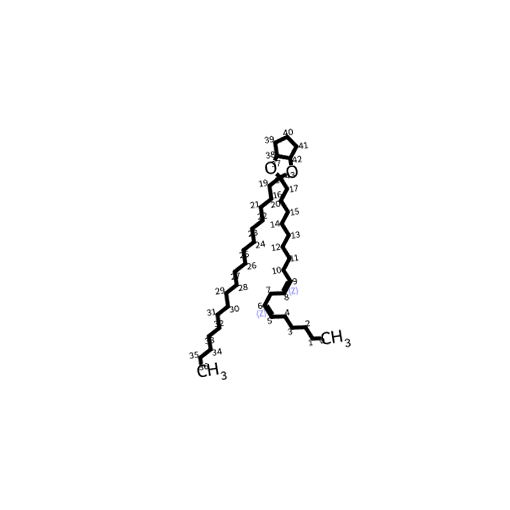 CCCCC/C=C\C/C=C\CCCCCCCCC1(CCCCCCCCCCCCCCCCCC)OC2CCCC2O1